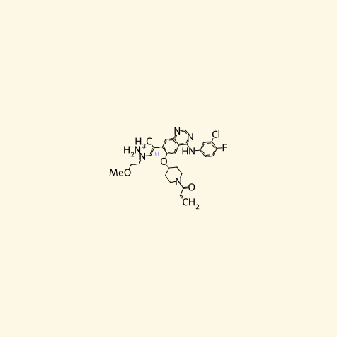 C=CC(=O)N1CCC(Oc2cc3c(Nc4ccc(F)c(Cl)c4)ncnc3cc2/C(C)=C/N(N)CCOC)CC1